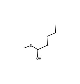 CCCCC(O)SC